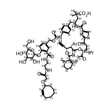 C#CCCCON(C(=O)[C@@H](NC(=O)[C@H]1CCCCN1C)[C@@H](C)CC)[C@H](C[C@@H](OC(C)=O)c1nc(C(=O)N[C@@H](Cc2ccc(NC(=O)OCc3ccc(O[C@@H]4O[C@H](CO)[C@@H](O)[C@H](O)[C@H]4O)c(C(=O)NCCNC(=O)COC4C#CCCCCC4)c3)cc2)CC(C)(C)C(=O)O)cs1)C(C)C